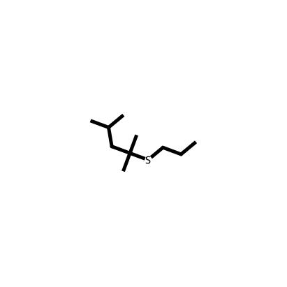 CCCSC(C)(C)CC(C)C